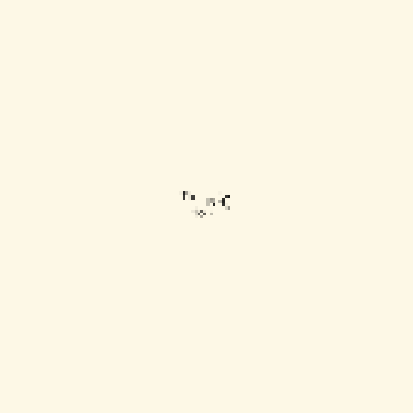 [BiH3].[Ho].[Th].[U]